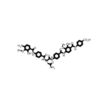 CC(C)Oc1c(N)ccc(C(=O)Nc2ccc(C(=O)N[C@@H](CC(N)=O)C(=O)Nc3ccc(C(=O)Nc4ccc(C(=O)Nc5ccc(C(=O)O)cc5)c(O)c4OC(C)C)cc3)cc2)c1O